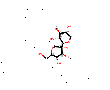 OC[C@H]1O[CH][C@@](O)([C@@H]2OC[C@@H](O)[C@H](O)[C@H]2O)[C@@H](O)[C@@H]1O